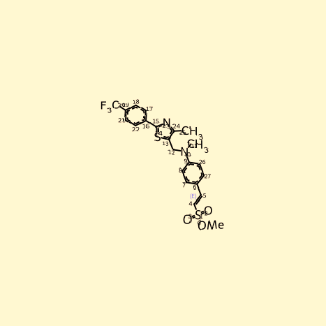 COS(=O)(=O)/C=C/c1ccc(N(C)Cc2sc(-c3ccc(C(F)(F)F)cc3)nc2C)cc1